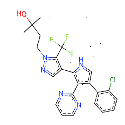 CC(C)(O)CCn1ncc(-c2[nH]cc(-c3ccccc3Cl)c2-c2ncccn2)c1C(F)(F)F